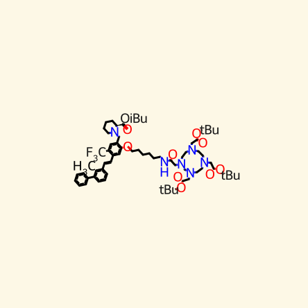 Cc1c(/C=C/c2cc(OCCCCCCNC(=O)CN3CCN(CC(=O)OC(C)(C)C)CCN(CC(=O)OC(C)(C)C)CCN(CC(=O)OC(C)(C)C)C3)c(CN3CCCC[C@H]3C(=O)OCC(C)C)cc2C(F)(F)F)cccc1-c1ccccc1